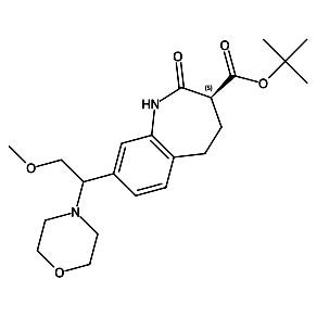 COCC(c1ccc2c(c1)NC(=O)[C@@H](C(=O)OC(C)(C)C)CC2)N1CCOCC1